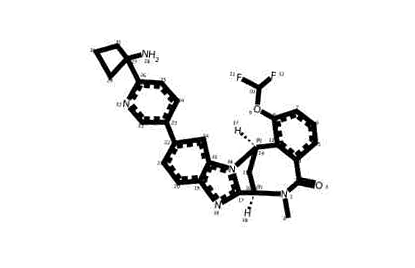 CN1C(=O)c2cccc(OC(F)F)c2[C@H]2C[C@@H]1c1nc3ccc(-c4ccc(C5(N)CCC5)nc4)cc3n12